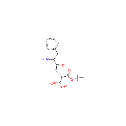 CC(C)(C)OC(=O)C(CC(=O)[C@@H](N)Cc1ccccc1)C(=O)O